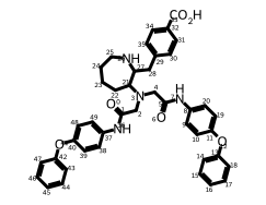 O=C(CN(CC(=O)Nc1ccc(Oc2ccccc2)cc1)C1CCCCNC1Cc1ccc(C(=O)O)cc1)Nc1ccc(Oc2ccccc2)cc1